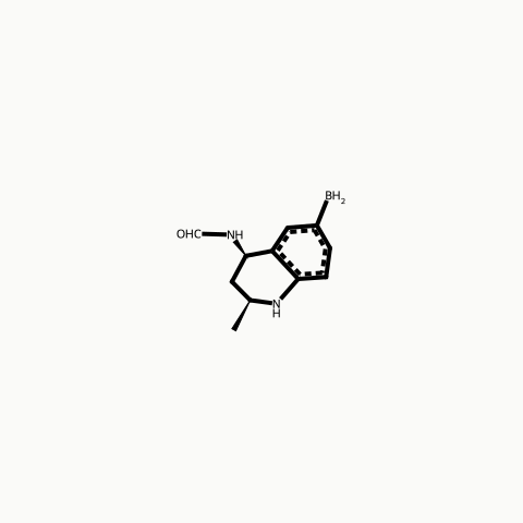 Bc1ccc2c(c1)[C@H](NC=O)C[C@H](C)N2